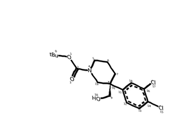 CC(C)(C)OC(=O)N1CCC[C@](CO)(c2ccc(Cl)c(Cl)c2)C1